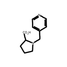 O=C(O)C1CCCN1Cc1ccncc1